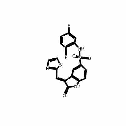 O=C1Nc2ccc(S(=O)(=O)Nc3cc(F)ccc3F)cc2/C1=C\c1nccs1